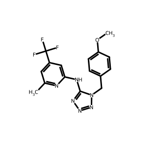 COc1ccc(Cn2nnnc2Nc2cc(C(F)(F)F)cc(C)n2)cc1